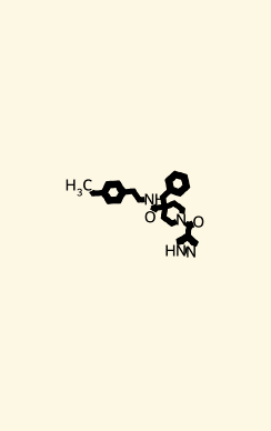 CCc1ccc(CCNC(=O)C2(Cc3ccccc3)CCN(C(=O)c3cn[nH]c3)CC2)cc1